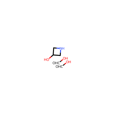 O=CO.O=CO.OC1CNC1